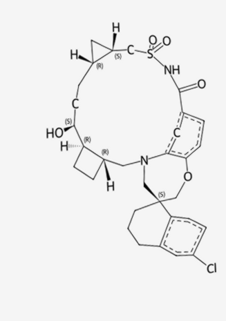 O=C1NS(=O)(=O)C[C@H]2C[C@H]2CC[C@H](O)[C@@H]2CC[C@H]2CN2C[C@@]3(CCCc4cc(Cl)ccc43)COc3ccc1cc32